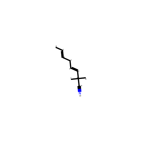 CC=CCC=CC(C)(C)C#N